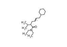 CCN(CC)C(=O)C(C/C=C/CC1CCCCC1)C(C)C